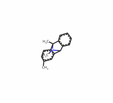 Cc1ccc2c(c1)C1c3ccccc3C2(C)N1C